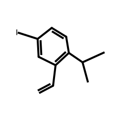 C=Cc1cc(I)ccc1C(C)C